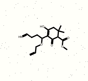 C=CCOC(CCC=N)C1=C(O)CC(C)(C)C(C(=O)OC)C1=O